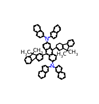 CC1(C)C2=C(CCC(c3c4cc(N(c5ccc6ccccc6c5)c5ccc6ccccc6c5)ccc4c(-c4ccc5c(c4)C(C)(C)c4ccccc4-5)c4cc(N(c5ccc6ccccc6c5)c5ccc6ccccc6c5)ccc34)=C2)c2ccccc21